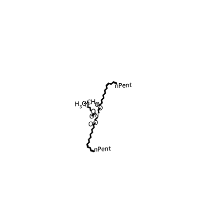 CCCCC/C=C\C/C=C\CCCCCCCC(=O)OCCN(CCOC(=O)CCCCCCC/C=C\C/C=C\CCCCC)C(=O)OCCCN(C)C